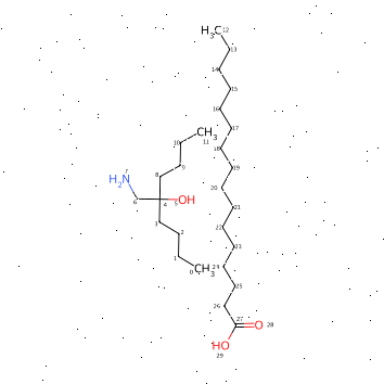 CCCCC(O)(CN)CCCC.CCCCCCCCCCCCCCCC(=O)O